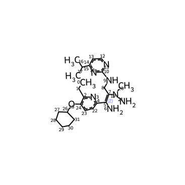 CCc1nc(/C(N)=C(\CNc2nccc(C(C)C)n2)N(C)N)ccc1OC1CCCCC1